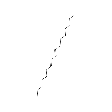 [CH2]CCCCCC=CC=CCCCCCCC